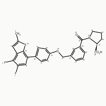 Cc1cc2c(F)c(F)cc(-c3ccc(OCc4cccc(C(=O)N5CCC[C@H]5C(=O)O)c4)cc3)c2s1